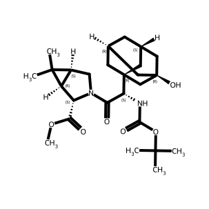 COC(=O)[C@@H]1[C@@H]2[C@H](CN1C(=O)[C@@H](NC(=O)OC(C)(C)C)[C@@]13C[C@@H]4C[C@@H](C[C@](O)(C4)C1)C3)C2(C)C